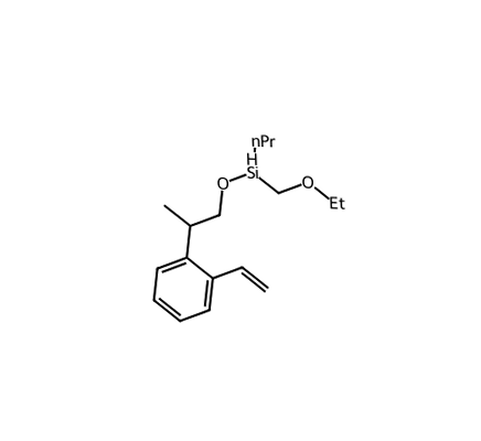 C=Cc1ccccc1C(C)CO[SiH](CCC)COCC